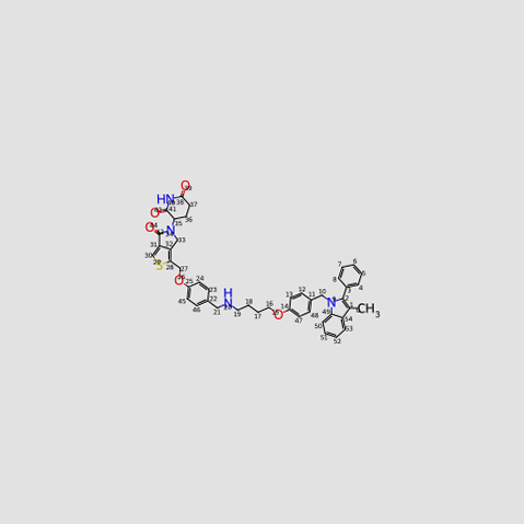 Cc1c(-c2ccccc2)n(Cc2ccc(OCCCCNCc3ccc(OCc4scc5c4CN(C4CCC(=O)NC4=O)C5=O)cc3)cc2)c2ccccc12